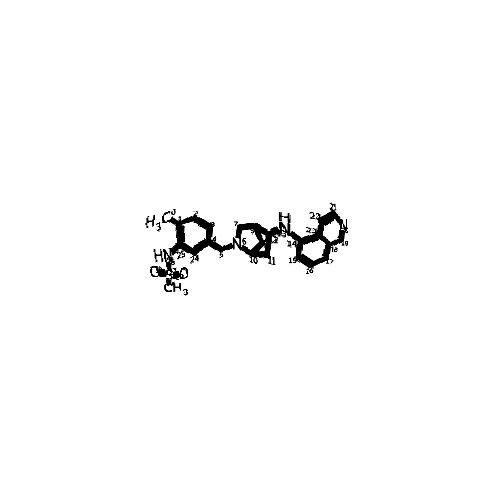 Cc1ccc(CN2CC3CC2CC3Nc2cccc3cnccc23)cc1NS(C)(=O)=O